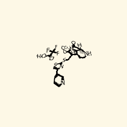 O=C(O)C(F)(F)F.O=C(O)OC1=C(CSc2nc(-c3cccnc3)cs2)C2CCN[C@@H]3C(=O)N1[C@H]23